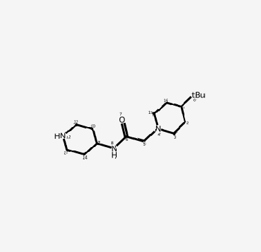 CC(C)(C)C1CCN(CC(=O)NC2CCNCC2)CC1